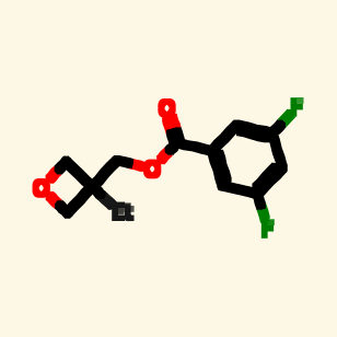 CCC1(COC(=O)c2cc(F)cc(F)c2)COC1